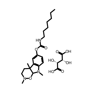 CCCCCCCNC(=O)Oc1ccc2c(c1)C1(C)CCN(C)OC1N2C.O=C(O)[C@H](O)[C@@H](O)C(=O)O